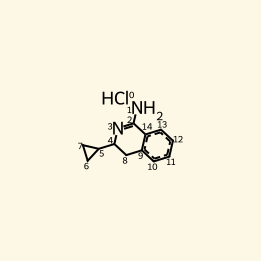 Cl.NC1=NC(C2CC2)Cc2ccccc21